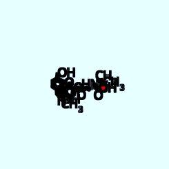 C=C(N[C@@H](CCC(=O)OC1=CC[C@@]2(O)[C@H]3Cc4ccc(CO)c5c4C2(CCN3C)C1O5)C(=O)O)[C@H](C)O